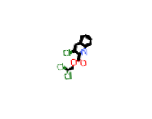 O=C(OCC(Cl)Cl)c1nc2ccccc2cc1Cl